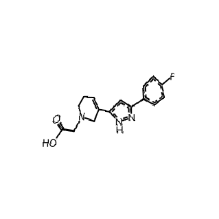 O=C(O)CN1CCC=C(c2cc(-c3ccc(F)cc3)n[nH]2)C1